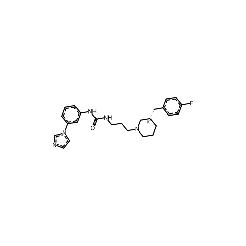 O=C(NCCCN1CCC[C@@H](Cc2ccc(F)cc2)C1)Nc1cccc(-n2ccnc2)c1